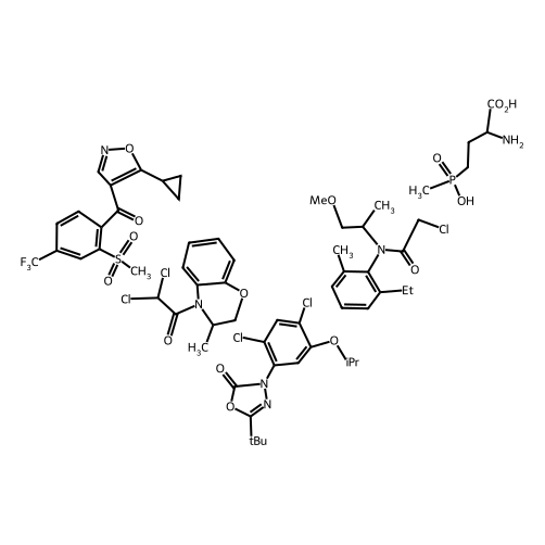 CC(C)Oc1cc(-n2nc(C(C)(C)C)oc2=O)c(Cl)cc1Cl.CC1COc2ccccc2N1C(=O)C(Cl)Cl.CCc1cccc(C)c1N(C(=O)CCl)C(C)COC.CP(=O)(O)CCC(N)C(=O)O.CS(=O)(=O)c1cc(C(F)(F)F)ccc1C(=O)c1cnoc1C1CC1